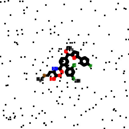 COC(c1ccc(C(=O)NC(CCSC)C(=O)O)c(-c2ccc(F)cc2Cl)c1)c1ccc(-c2ccc(F)cc2)o1.[LiH]